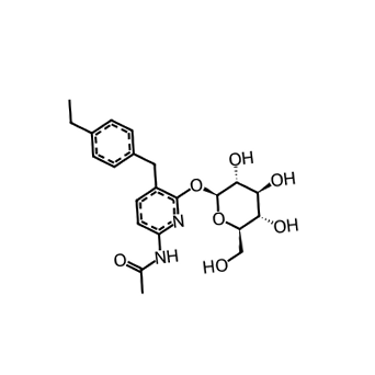 CCc1ccc(Cc2ccc(NC(C)=O)nc2O[C@@H]2O[C@H](CO)[C@@H](O)[C@H](O)[C@H]2O)cc1